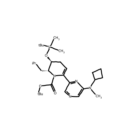 CC(C)C[C@@H]1[C@@H](O[Si](C)(C)C(C)(C)C)CC=C(c2cncc(N(C)C3CCC3)n2)N1C(=O)OC(C)(C)C